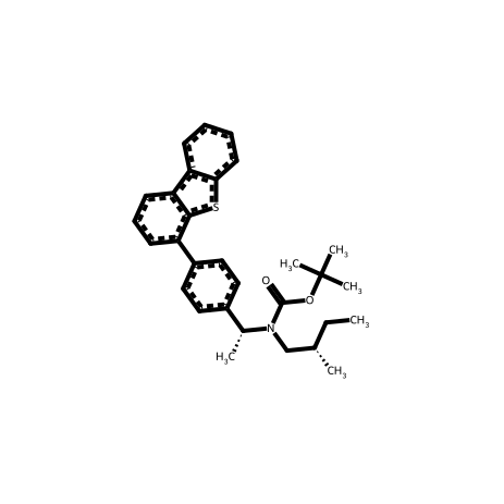 CC[C@H](C)CN(C(=O)OC(C)(C)C)[C@H](C)c1ccc(-c2cccc3c2sc2ccccc23)cc1